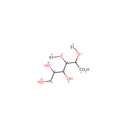 CCOC(C(=O)O)C(OCC)C(O)C(O)CO